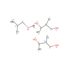 CCCC(O)C(CC)CO.CCCC(O)C(CC)CO.CCCCC(CC)C[O][Al]